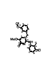 COc1cn(Cc2cccc(OC(F)(F)F)c2)c(Nc2cccc(Cl)c2C)nc1=O